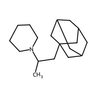 CC(CC12CC3CC(CC(C3)C1)C2)N1CCCCC1